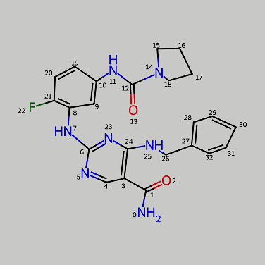 NC(=O)c1cnc(Nc2cc(NC(=O)N3CCCC3)ccc2F)nc1NCc1ccccc1